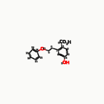 O=C(O)c1ccc(O)cc1CCOc1ccccc1